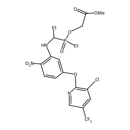 CCC(Nc1cc(Oc2ncc(C(F)(F)F)cc2Cl)ccc1[N+](=O)[O-])P(=O)(CC)OCC(=O)OC